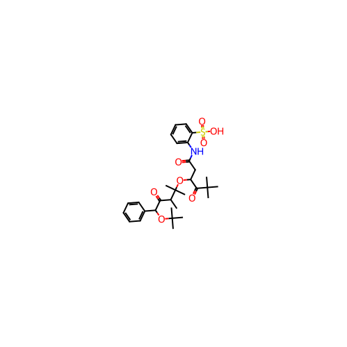 CC(C(=O)C(OC(C)(C)C)c1ccccc1)C(C)(C)OC(CC(=O)Nc1ccccc1S(=O)(=O)O)C(=O)C(C)(C)C